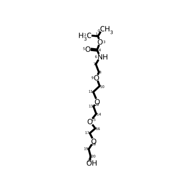 CC(C)OC(=O)NCCOCCOCCOCCOCCO